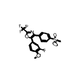 COc1ccc(-c2oc(C(F)(F)F)nc2-c2ccc(S(C)(=O)=O)cc2)cc1F